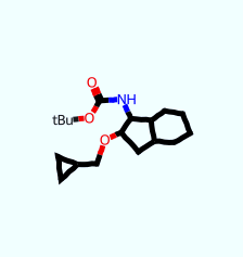 CC(C)(C)OC(=O)NC1C(OCC2CC2)CC2CCCCC21